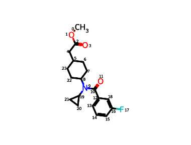 COC(=O)CC1CCC(N(C(=O)c2cccc(F)c2)C2CC2)CC1